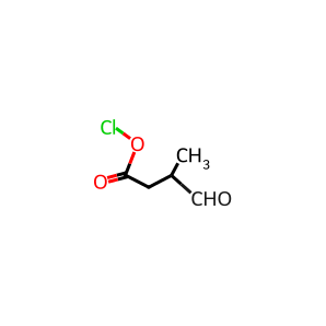 CC(C=O)CC(=O)OCl